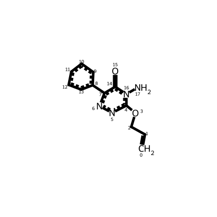 C=CCOc1nnc(-c2ccccc2)c(=O)n1N